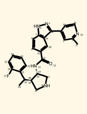 Cc1cc(-c2n[nH]c3ccc(C(=O)N[C@@H]4CNC[C@H]4C(C)c4ccccc4F)cc23)ccn1